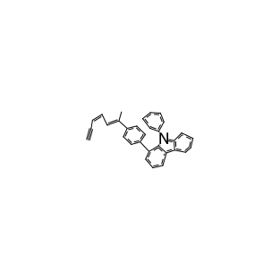 C#C/C=C\C=C(/C)c1ccc(-c2cccc3c4ccccc4n(-c4ccccc4)c23)cc1